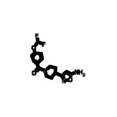 Nc1cc(C2CCN(C(=O)c3ccc(OC(F)F)cc3)CC2)no1